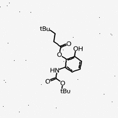 CC(C)(C)CCC(=O)Oc1c(O)cccc1NC(=O)OC(C)(C)C